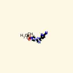 CC(C)(C)OC(=O)N1CCN(c2cncc(-c3ccc(C#N)nc3)n2)CC1